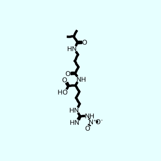 CC(C)C(=O)NCCCC(=O)NC(CCCNC(=N)N[N+](=O)[O-])C(=O)O